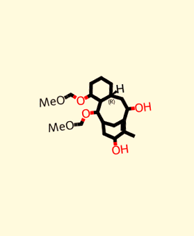 COCOC1CCC[C@@H]2CC(O)C3=C(C)C(O)CC(C3)C(OCOC)C12